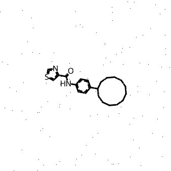 O=C(Nc1ccc(C2CCCCCCCCCCC2)cc1)c1cscn1